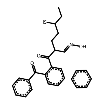 CCC(S)CCC(C=NO)C(=O)c1ccccc1C(=O)c1ccccc1.c1ccccc1